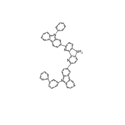 c1ccc(-c2cccc(-n3c4ccccc4c4cc(-c5ccc6c(n5)-c5nc(-c7ccc8c9ccccc9n(-c9ccccc9)c8c7)ccc5[SiH2]6)ccc43)c2)cc1